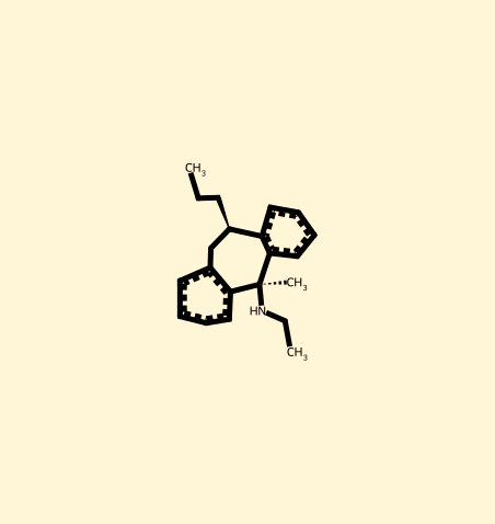 CCC[C@@H]1Cc2ccccc2[C@](C)(NCC)c2ccccc21